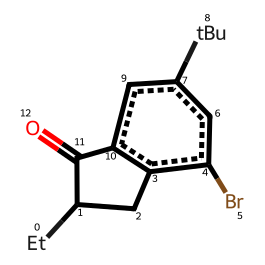 CCC1Cc2c(Br)cc(C(C)(C)C)cc2C1=O